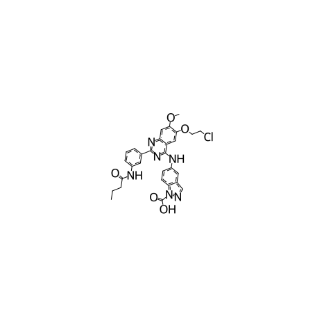 CCCC(=O)Nc1cccc(-c2nc(Nc3ccc4c(cnn4C(=O)O)c3)c3cc(OCCCl)c(OC)cc3n2)c1